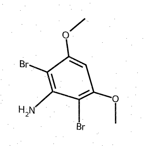 COc1cc(OC)c(Br)c(N)c1Br